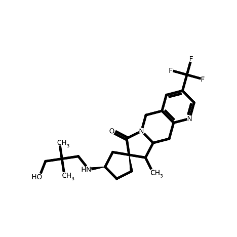 CC1C2Cc3ncc(C(F)(F)F)cc3CN2C(=O)[C@]12CC[C@@H](NCC(C)(C)CO)C2